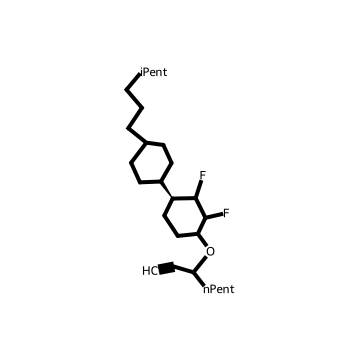 C#CC(CCCCC)OC1CC[C@@H](C2CCC(CCCC(C)CCC)CC2)C(F)C1F